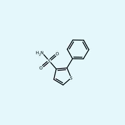 NS(=O)(=O)c1ccsc1-c1ccccc1